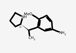 COc1ccc(N)cc1C(C)[C@@H]1CCCN1